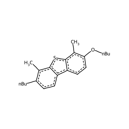 CCCCOc1ccc2c(sc3c(C)c(CCCC)ccc32)c1C